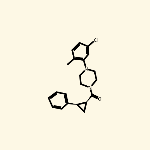 Cc1ccc(Cl)cc1N1CCN(C(=O)[C@H]2C[C@H]2c2ccccc2)CC1